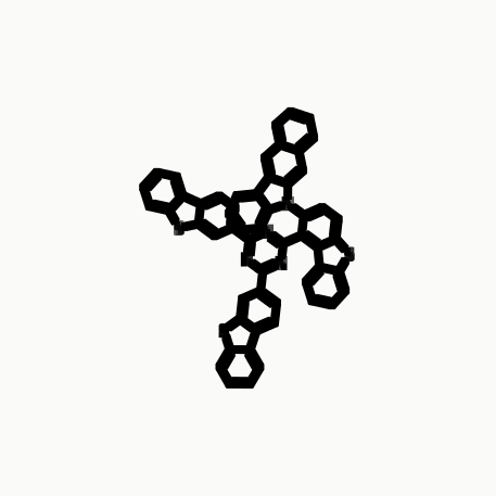 c1ccc2cc3c(cc2c1)c1ccccc1n3-c1ccc2sc3ccccc3c2c1-c1nc(-c2ccc3c(c2)sc2ccccc23)nc(-c2ccc3c(c2)sc2ccccc23)n1